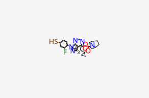 CC1(OC(=O)N2C3CCC2CC(Oc2ncnc4c2cnn4-c2ccc(S)cc2F)C3)CC1